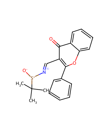 CC(C)(C)[S+]([O-])/N=C/c1c(-c2ccccc2)oc2ccccc2c1=O